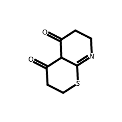 O=C1CCN=C2SCCC(=O)C12